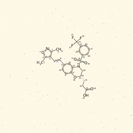 Cc1noc(C)c1/C=C/c1ccc2c(c1)N(S(=O)(=O)c1cccc(C(F)(F)F)c1)C[C@H](CCC(=O)O)O2